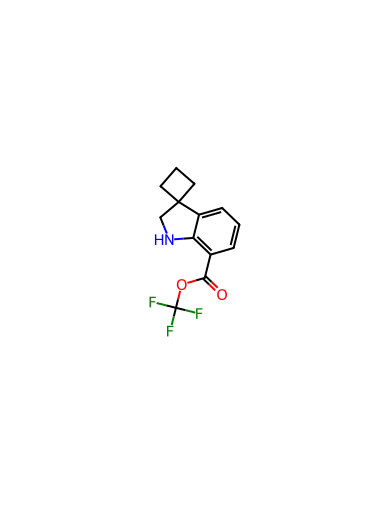 O=C(OC(F)(F)F)c1cccc2c1NCC21CCC1